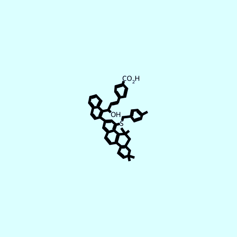 Cc1ccc(CSc2cc(-c3ccc4ccccc4c3C(O)C=Cc3ccc(C(=O)O)cc3)cc3ccc4c(c23)C(C)(C)CC2=C4C=CC(C)(C)C2)cc1